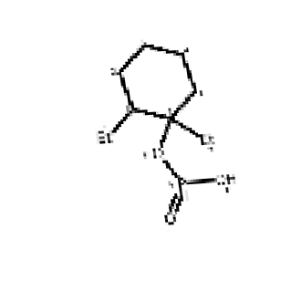 CCC1CCCCC1(CC)O[PH](=O)O